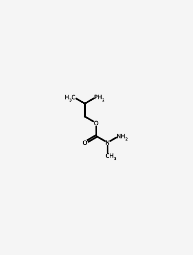 CC(P)COC(=O)N(C)N